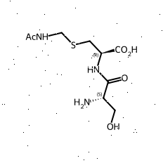 CC(=O)NCSC[C@H](NC(=O)[C@@H](N)CO)C(=O)O